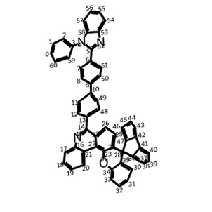 c1ccc(-n2c(-c3ccc(-c4ccc(-c5nc6ccccc6c6c7c(ccc56)C5(c6ccccc6O7)c6ccccc6-c6ccccc65)cc4)cc3)nc3ccccc32)cc1